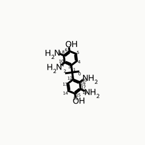 CC(C)(c1ccc(O)c(N)c1N)c1ccc(O)c(N)c1N